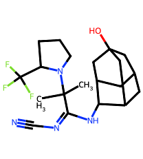 CC(C)(/C(=N\C#N)NC1C2CC3CC1CC(O)(C3)C2)N1CCCC1C(F)(F)F